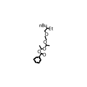 CCCCC(CC)COCCOC(C)OC(C)OC(=O)c1ccccc1